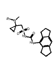 CC(C)N(C)C1(CS(=O)(=O)NC(=O)Nc2c3c(cc4c2CCC4)CCC3)CC1